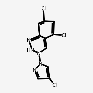 Clc1cc(Cl)c2c(c1)=NNN(n1cc(Cl)cn1)C=2